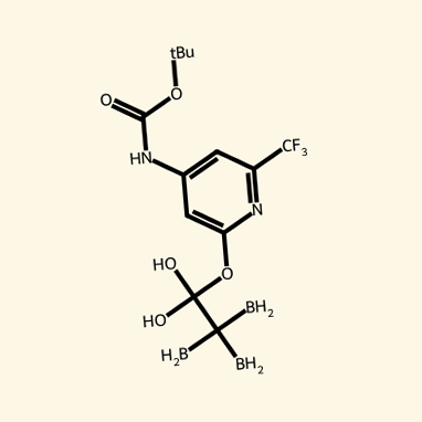 BC(B)(B)C(O)(O)Oc1cc(NC(=O)OC(C)(C)C)cc(C(F)(F)F)n1